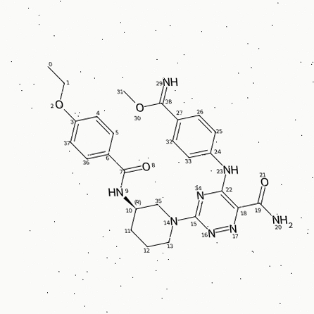 CCOc1ccc(C(=O)N[C@@H]2CCCN(c3nnc(C(N)=O)c(Nc4ccc(C(=N)OC)cc4)n3)C2)cc1